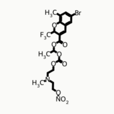 Cc1cc(Br)cc2c1OC(C(F)(F)F)C(C(=O)OC(C)OC(=O)OCCN(C)CCO[N+](=O)[O-])=C2